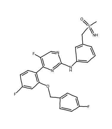 CS(=N)(=O)Cc1cccc(Nc2ncc(F)c(-c3ccc(F)cc3OCc3ccc(F)cc3)n2)c1